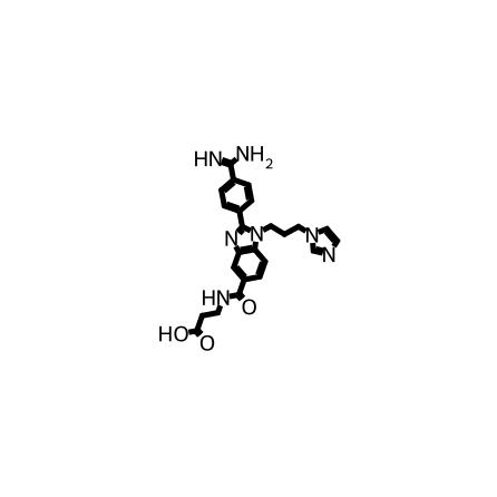 N=C(N)c1ccc(-c2nc3cc(C(=O)NCCC(=O)O)ccc3n2CCCn2ccnc2)cc1